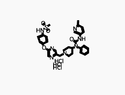 Cc1ccc(NC(=O)N(c2ccccc2)C2CCN(Cc3cnc(Oc4ccc(NS(C)(=O)=O)cc4)cn3)CC2)cn1.Cl.Cl.Cl